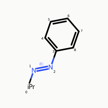 CC(C)/N=N/c1ccccc1